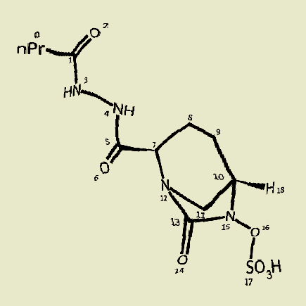 CCCC(=O)NNC(=O)[C@H]1CC[C@H]2CN1C(=O)N2OS(=O)(=O)O